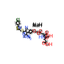 N#Cc1c(N)nc(SCc2csc(-c3ccc(Cl)cc3)n2)c(C#N)c1-c1ccc(OCCOC(=O)CC[C@H](NC(=O)CCC(=O)O)C(=O)O)cc1.[NaH].[NaH]